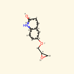 O=c1ccc2cc(OCC3CO3)ccc2[nH]1